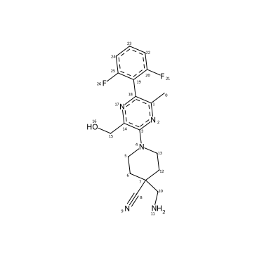 Cc1nc(N2CCC(C#N)(CN)CC2)c(CO)nc1-c1c(F)cccc1F